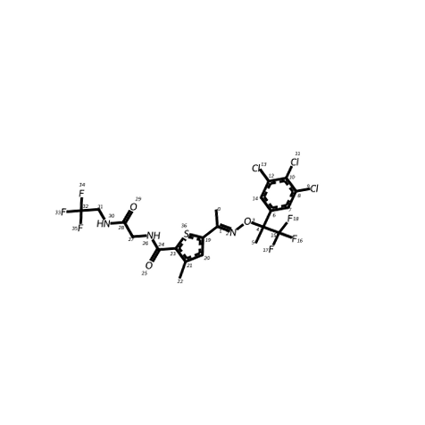 C/C(=N\OC(C)(c1cc(Cl)c(Cl)c(Cl)c1)C(F)(F)F)c1cc(C)c(C(=O)NCC(=O)NCC(F)(F)F)s1